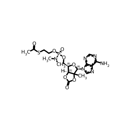 CC(=O)SCCOP(=O)(OC[C@H]1O[C@@H](n2cnc3c(N)ncnc32)C2(C)OC(=O)O[C@@H]12)N(C)C